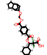 O=C(OCOC1CC2CC1C1CCCC21)c1ccc(C(=O)OC(C2CCCCC2)C(F)(F)C(=O)O)cc1